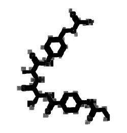 CC(C)C(=O)OCc1ccc(NC(=O)[C@H](C)NC(=O)[C@@H](NC(=O)c2ccc(NC(=O)CI)cc2)C(C)C)cc1